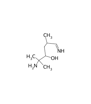 CC(C=N)CC(O)C(C)(C)N